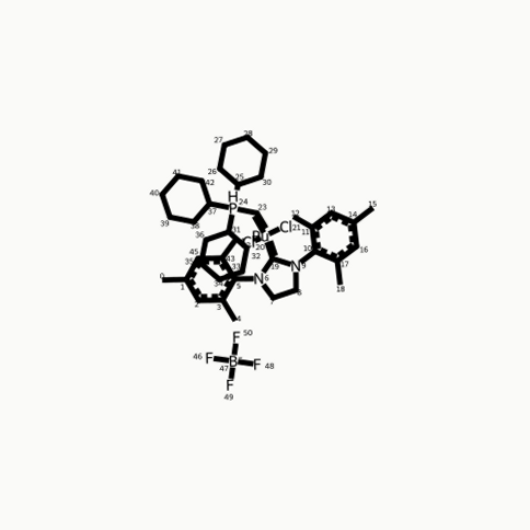 Cc1cc(C)c(N2CCN(c3c(C)cc(C)cc3C)[C]2=[Ru]([Cl])([Cl])=[CH][PH](C2CCCCC2)(C2CCCCC2)C2CCCCC2)c(C)c1.F[B-](F)(F)F